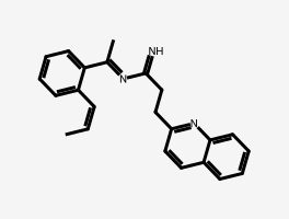 C/C=C\c1ccccc1/C(C)=N/C(=N)CCc1ccc2ccccc2n1